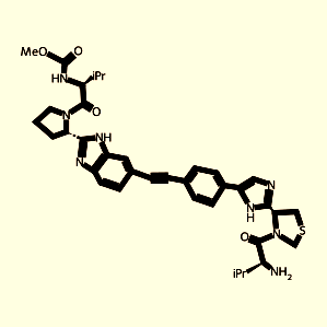 COC(=O)N[C@H](C(=O)N1CCC[C@H]1c1nc2ccc(C#Cc3ccc(-c4cnc([C@@H]5CSCN5C(=O)[C@@H](N)C(C)C)[nH]4)cc3)cc2[nH]1)C(C)C